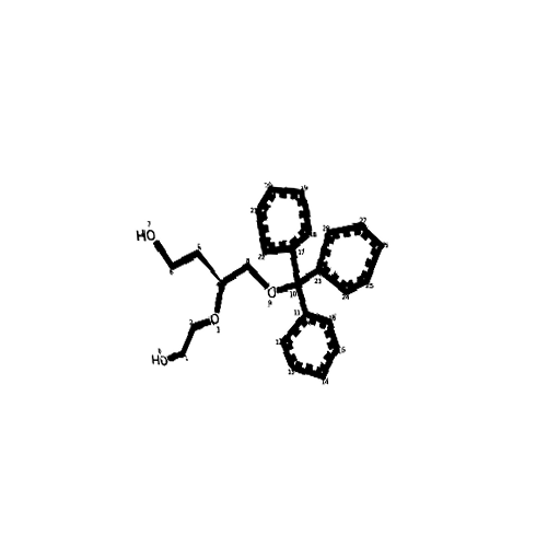 OCCO[C@@H](CCO)COC(c1ccccc1)(c1ccccc1)c1ccccc1